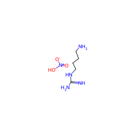 N=C(N)NCCCCN.O=[N+]([O-])O